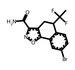 CC(F)(F)C1Cc2c(C(N)=O)noc2-c2cc(Br)ccc21